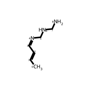 C/C=C/C=N\CNCN